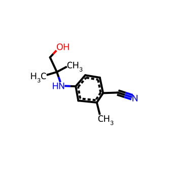 Cc1cc(NC(C)(C)CO)ccc1C#N